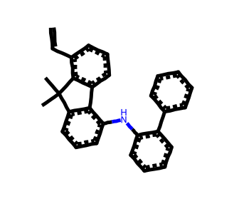 C=Cc1cccc2c1C(C)(C)c1cccc(Nc3ccccc3-c3ccccc3)c1-2